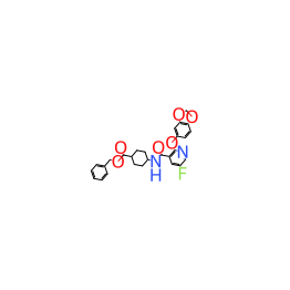 O=C(NC1CCC(C(=O)OCc2ccccc2)CC1)c1cc(F)cnc1Oc1ccc2c(c1)OCO2